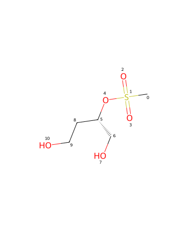 CS(=O)(=O)O[C@H](CO)CCO